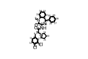 CN1C(=O)[C@@H](NC(=O)[C@@H](Cc2ccc(Cl)c(Cl)c2)N2CCCC2)N=C(c2ccccc2)c2ccccc21